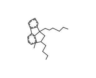 CCCCCCC1(CC(CC)CCCC)c2ccccc2-c2ccccc21